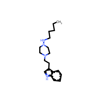 CCCCCNN1CCN(CCc2c[nH]c3ccccc23)CC1